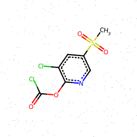 CS(=O)(=O)c1cnc(OC(=O)Cl)c(Cl)c1